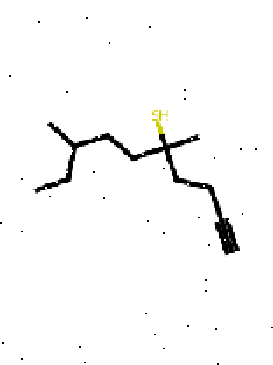 C#CCCC(C)(S)CCC(C)CC